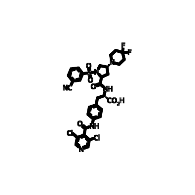 N#Cc1cccc(S(=O)(=O)N2C[C@H](N3CCC(F)(F)CC3)CC2C(=O)N[C@@H](Cc2ccc(NC(=O)c3c(Cl)cncc3Cl)cc2)C(=O)O)c1